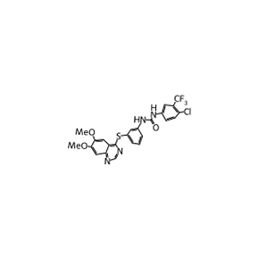 COc1cc2ncnc(Sc3cccc(NC(=O)Nc4ccc(Cl)c(C(F)(F)F)c4)c3)c2cc1OC